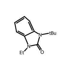 CCn1c(=O)n(C(C)(C)C)c2ccccc21